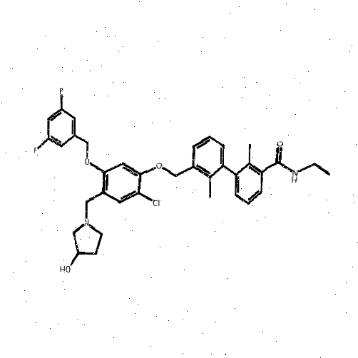 CCNC(=O)c1cccc(-c2cccc(COc3cc(OCc4cc(F)cc(F)c4)c(CN4CCC(O)C4)cc3Cl)c2C)c1C